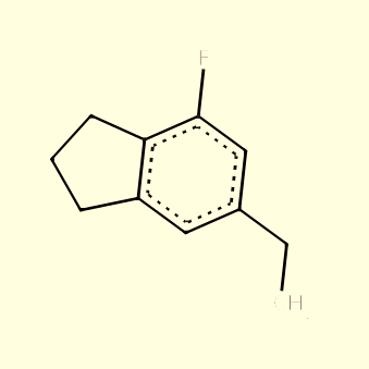 [CH2]Cc1cc(F)c2c(c1)CCC2